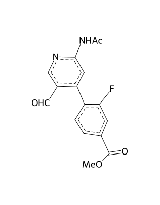 COC(=O)c1ccc(-c2cc(NC(C)=O)ncc2C=O)c(F)c1